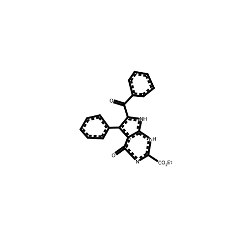 CCOC(=O)c1nc(=O)c2c(-c3ccccc3)c(C(=O)c3ccccc3)[nH]c2[nH]1